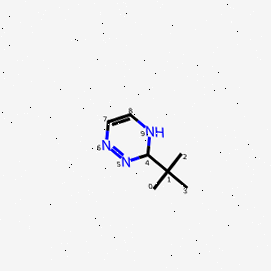 CC(C)(C)C1N=NC=CN1